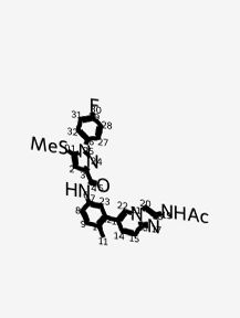 CSc1cc(C(=O)Nc2ccc(C)c(-c3ccc4nc(NC(C)=O)cn4c3)c2)nn1-c1ccc(F)cc1